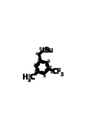 Cc1cc(CC(C)(C)C)cc(C(F)(F)F)c1